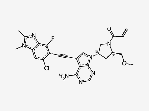 C=CC(=O)N1C[C@@H](n2cc(C#Cc3c(Cl)cc4c(nc(C)n4C)c3F)c3c(N)ncnc32)C[C@@H]1COC